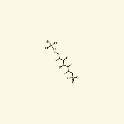 CC[N+](CC)(CC)CC.O=S(=O)([O-])CC(F)C(F)C(F)C(F)C(F)CF